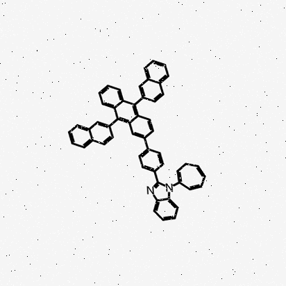 C1=CCC=C(n2c(-c3ccc(-c4ccc5c(-c6ccc7ccccc7c6)c6ccccc6c(-c6ccc7ccccc7c6)c5c4)cc3)nc3ccccc32)C=C1